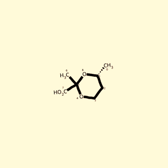 C[C@@H]1CCOC(C)(C(=O)O)O1